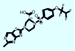 Cc1ncc2sc(N3CCN(S(=O)(=O)c4ccc(OC(F)(F)C(F)F)cc4)[C@@H](C(=O)O)C3)nc2n1